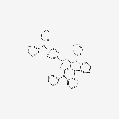 C1=C(c2ccc(N(c3ccccc3)c3ccccc3)cc2)CC2C3=C1N(c1ccccc1)c1ccccc1B3c1ccccc1N2c1ccccc1